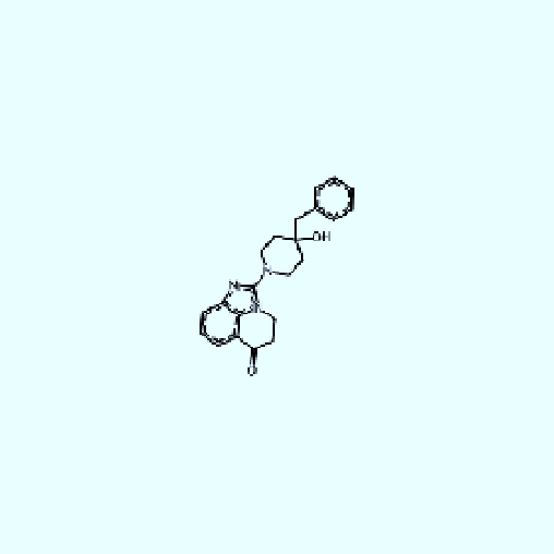 O=C1CCn2c(N3CCC(O)(Cc4ccccc4)CC3)nc3cccc1c32